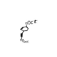 CCCCCCCCCCC#Cc1ccc(CCCCCCCC)cc1